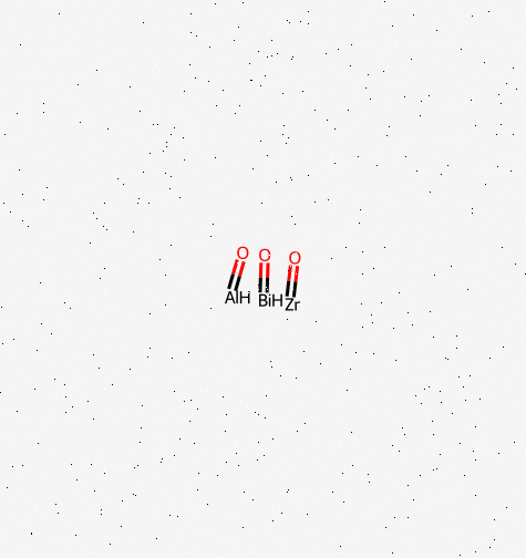 [O]=[AlH].[O]=[BiH].[O]=[Zr]